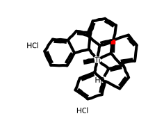 Cl.Cl.[CH2]=[Ti]([c]1ccccc1)([c]1ccccc1)([c]1ccccc1)([c]1ccc[pH]1)[CH]1C=Cc2ccccc21